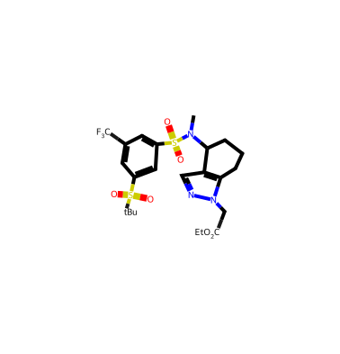 CCOC(=O)Cn1ncc2c1CCCC2N(C)S(=O)(=O)c1cc(C(F)(F)F)cc(S(=O)(=O)C(C)(C)C)c1